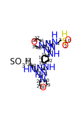 O=[SH](=O)CCNc1nc(Nc2cccc(Nc3nc(NCCS(=O)(=O)O)nc(N4CCOCC4)n3)c2)nc(N2CCOCC2)n1